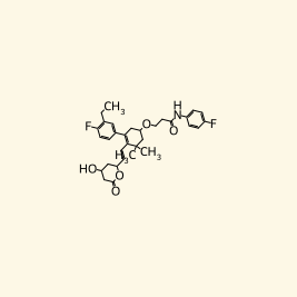 CCc1cc(C2=C(C=CC3CC(O)CC(=O)O3)C(C)(C)CC(OCCC(=O)Nc3ccc(F)cc3)C2)ccc1F